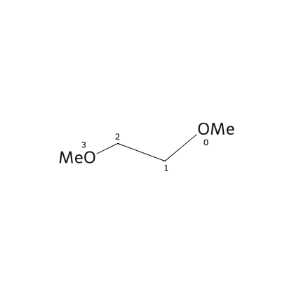 [CH2]OCCO[CH2]